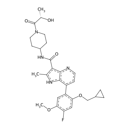 COc1cc(-c2ccnc3c(C(=O)NC4CCN(C(=O)[C@H](C)O)CC4)c(C)[nH]c23)c(OCC2CC2)cc1F